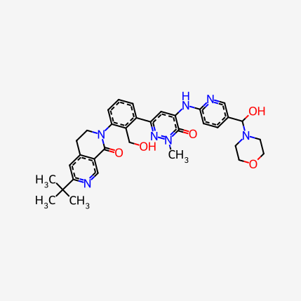 Cn1nc(-c2cccc(N3CCc4cc(C(C)(C)C)ncc4C3=O)c2CO)cc(Nc2ccc(C(O)N3CCOCC3)cn2)c1=O